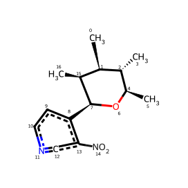 C[C@H]1[C@H](C)[C@@H](C)O[C@@H](c2ccncc2[N+](=O)[O-])[C@H]1C